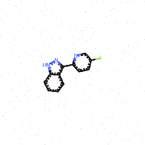 Fc1ccc(-c2n[nH]c3ccccc23)nc1